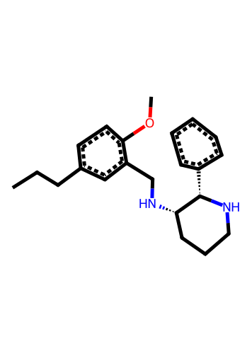 CCCc1ccc(OC)c(CN[C@H]2CCCN[C@H]2c2ccccc2)c1